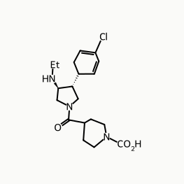 CCN[C@@H]1CN(C(=O)C2CCN(C(=O)O)CC2)C[C@H]1C1C=CC(Cl)=CC1